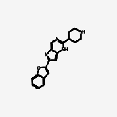 c1ccc2oc(-c3cc4[nH]c(C5CCNCC5)ncc-4n3)cc2c1